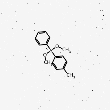 COS(OC)(c1ccccc1)c1ccc(C)cc1